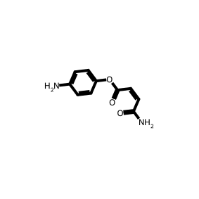 NC(=O)/C=C\C(=O)Oc1ccc(N)cc1